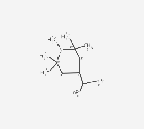 CCCC(CCC)C1CC(C)(C)N(C)C(C)(C)C1